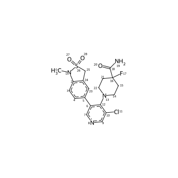 CN1c2ccc(-c3cncc(Cl)c3N3CCC(F)(C(N)=O)CC3)cc2CS1(=O)=O